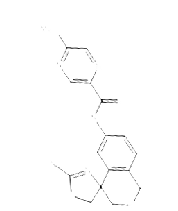 COc1cnc(C(=O)Nc2ccc3c(c2)C2(COC3)CSC(N)=N2)cn1